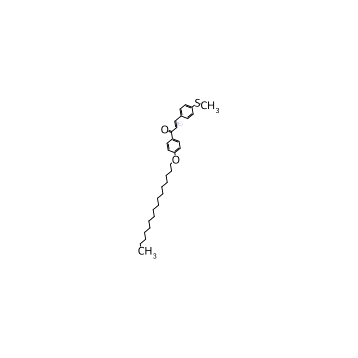 CCCCCCCCCCCCCCCCOc1ccc(C(=O)/C=C/c2ccc(SC)cc2)cc1